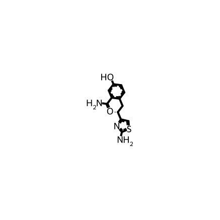 NC(=O)c1cc(O)ccc1C[CH]c1csc(N)n1